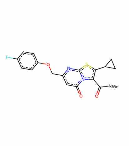 CNC(=O)c1c(C2CC2)sc2nc(COc3ccc(F)cc3)cc(=O)n12